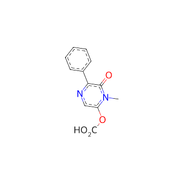 Cn1c(OC(=O)O)cnc(-c2ccccc2)c1=O